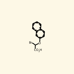 O=C(O)C(Br)Oc1ccc2ccccc2c1